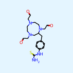 NC(=S)Nc1ccc(CC2CN(CC=O)CCN(CC=O)CCN2CC=O)cc1